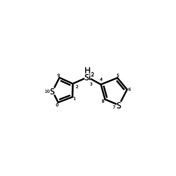 c1cc([SiH2]c2ccsc2)cs1